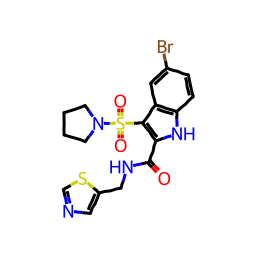 O=C(NCc1cncs1)c1[nH]c2ccc(Br)cc2c1S(=O)(=O)N1CCCC1